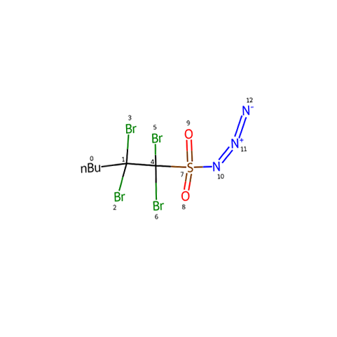 CCCCC(Br)(Br)C(Br)(Br)S(=O)(=O)N=[N+]=[N-]